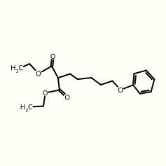 CCOC(=O)C(CCCCCOc1ccccc1)C(=O)OCC